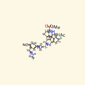 COC(=O)N[C@H]1CCC[C@@H]1[C@](CNC(C)=O)(c1cccc(F)c1)C1CCN(CC2CN(c3ccc(C#N)c(CN4CC(F)C4)c3)C2)CC1